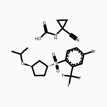 CC(C)O[C@@H]1CC[C@@H](S(=O)(=O)c2ccc(Br)cc2C(F)(F)F)C1.N#CC1(NC(=O)O)CC1